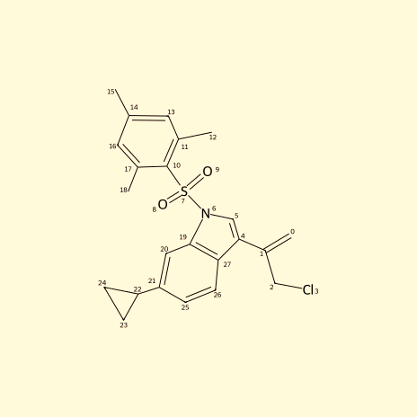 C=C(CCl)c1cn(S(=O)(=O)c2c(C)cc(C)cc2C)c2cc(C3CC3)ccc12